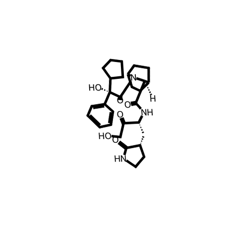 O=C1NCC[C@H]1C[C@@H](NC(=O)[C@@H]1C2CCC(CC2)N1C(=O)[C@@](O)(c1ccccc1)C1CCCC1)C(=O)CO